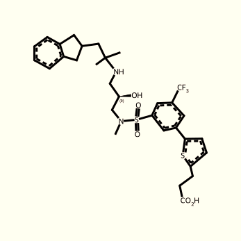 CN(C[C@H](O)CNC(C)(C)CC1Cc2ccccc2C1)S(=O)(=O)c1cc(-c2ccc(CCC(=O)O)s2)cc(C(F)(F)F)c1